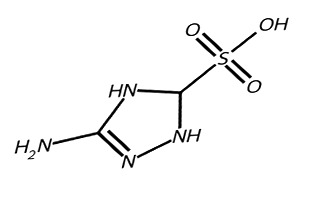 NC1=NNC(S(=O)(=O)O)N1